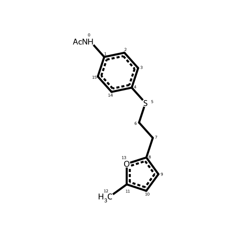 CC(=O)Nc1ccc(SCCc2ccc(C)o2)cc1